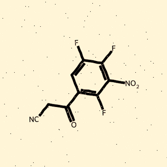 N#CCC(=O)c1cc(F)c(F)c([N+](=O)[O-])c1F